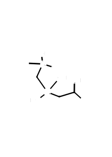 CC(C)C[Si](O)(O)C[Si](O)(O)O